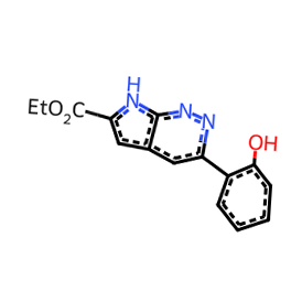 CCOC(=O)c1cc2cc(-c3ccccc3O)nnc2[nH]1